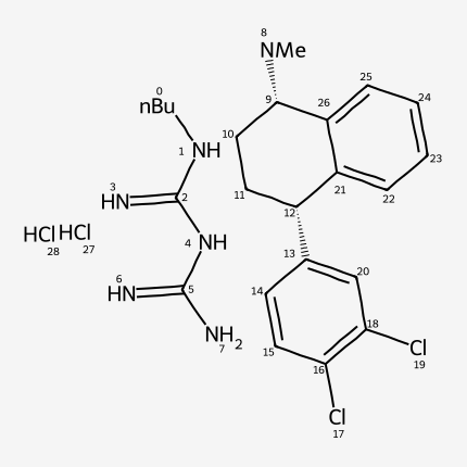 CCCCNC(=N)NC(=N)N.CN[C@H]1CC[C@@H](c2ccc(Cl)c(Cl)c2)c2ccccc21.Cl.Cl